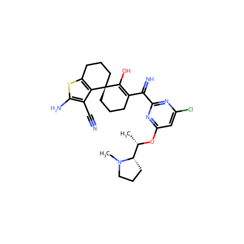 C[C@H](Oc1cc(Cl)nc(C(=N)C2=C(O)[C@@]3(CCC2)CCCc2sc(N)c(C#N)c23)n1)[C@@H]1CCCN1C